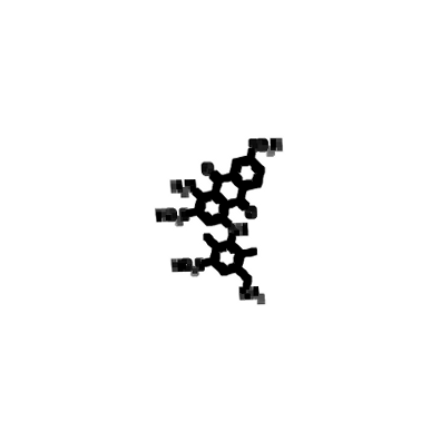 Cc1c(CN)cc(S(=O)(=O)O)c(C)c1Nc1cc(S(=O)(=O)O)c(N)c2c1C(=O)c1ccc(S(=O)(=O)O)cc1C2=O